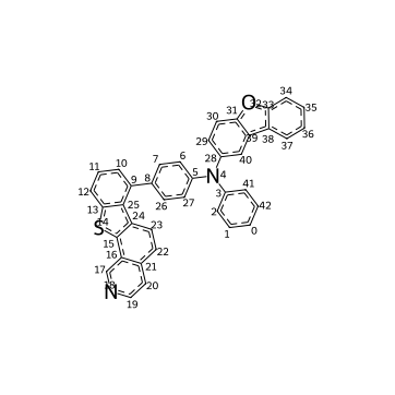 c1ccc(N(c2ccc(-c3cccc4sc5c6cnccc6ccc5c34)cc2)c2ccc3oc4ccccc4c3c2)cc1